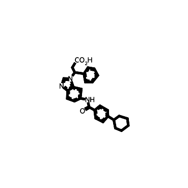 O=C(O)CC(c1ccccc1)n1cnc2ccc(NC(=O)c3ccc(C4CCCCC4)cc3)cc21